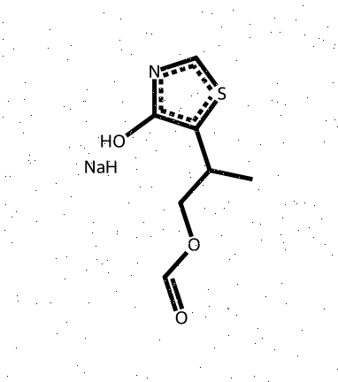 CC(COC=O)c1scnc1O.[NaH]